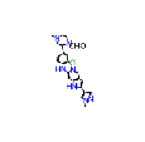 CN1CCN(C=O)C(c2ccc(Nc3cc4[nH]c(-c5cnn(C)c5)cc4cn3)c(Cl)c2)C1